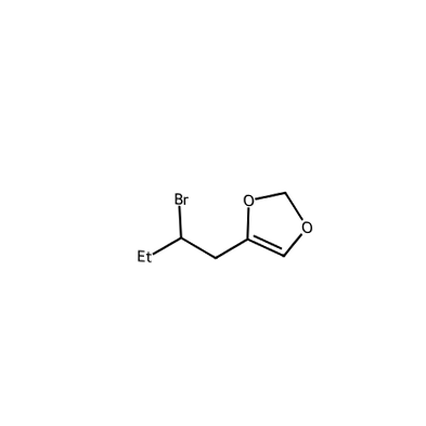 [CH2]CC(Br)CC1=COCO1